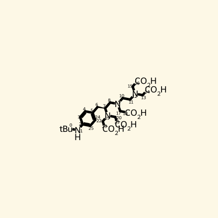 CC(C)(C)Nc1ccc(C[C@@H](CN(CCN(CC(=O)O)CC(=O)O)CC(=O)O)N(CC(=O)O)CC(=O)O)cc1